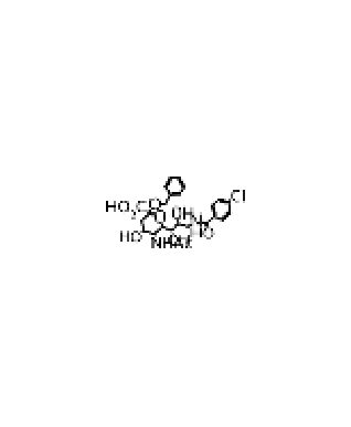 CC(=O)N[C@@H]1C(O)C[C@](OCc2ccccc2)(C(=O)O)OC1[C@H](O)[C@H](O)CNC(=O)c1ccc(Cl)cc1